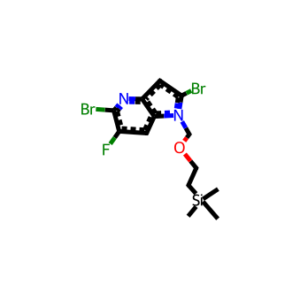 C[Si](C)(C)CCOCn1c(Br)cc2nc(Br)c(F)cc21